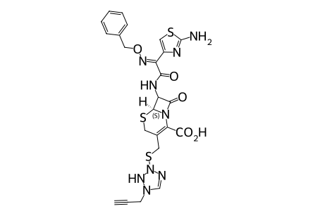 C#CCN1C=NN(SCC2=C(C(=O)O)N3C(=O)C(NC(=O)C(=NOCc4ccccc4)c4csc(N)n4)[C@@H]3SC2)N1